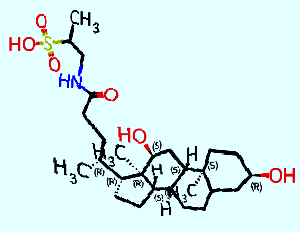 CC(CNC(=O)CC[C@@H](C)[C@H]1CC[C@H]2[C@@H]3CCC4C[C@H](O)CC[C@]4(C)[C@H]3C[C@H](O)[C@]12C)S(=O)(=O)O